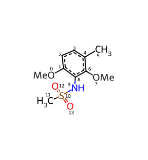 COc1ccc(C)c(OC)c1NS(C)(=O)=O